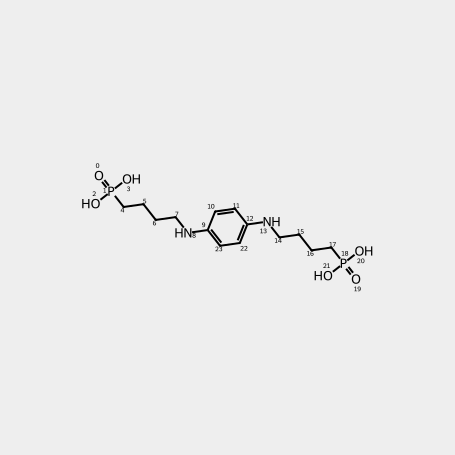 O=P(O)(O)CCCCNc1ccc(NCCCCP(=O)(O)O)cc1